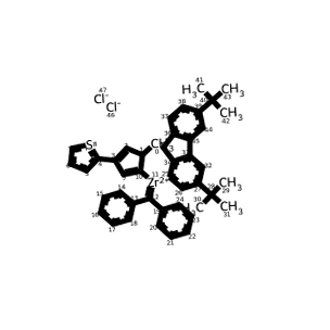 CC1C=C(c2cccs2)C=[C]1[Zr+2](=[C](c1ccccc1)c1ccccc1)[c]1cc(C(C)(C)C)cc2c1Cc1ccc(C(C)(C)C)cc1-2.[Cl-].[Cl-]